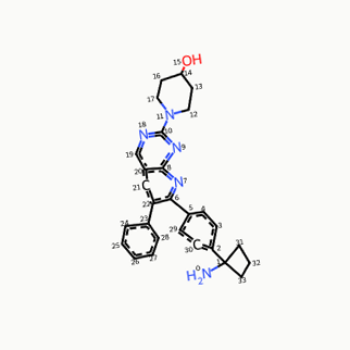 NC1(c2ccc(-c3nc4nc(N5CCC(O)CC5)ncc4cc3-c3ccccc3)cc2)CCC1